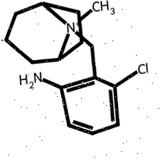 C[N+]1(Cc2c(N)cccc2Cl)C2C[CH]CC1CC2